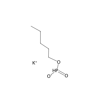 CCCCCO[PH](=O)[O-].[K+]